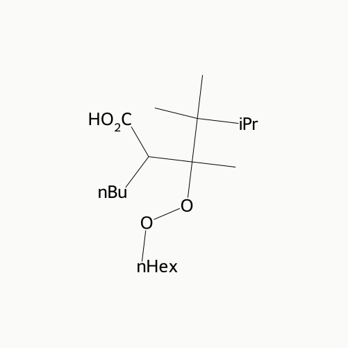 CCCCCCOOC(C)(C(CCCC)C(=O)O)C(C)(C)C(C)C